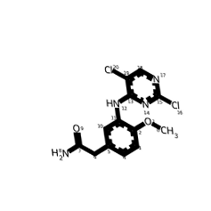 COc1ccc(CC(N)=O)cc1Nc1nc(Cl)ncc1Cl